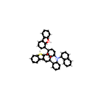 c1ccc(N(c2ccc(-c3cccc4c3oc3ccccc34)cc2)c2cccc3ccccc23)c(-c2ccc3sc4ccccc4c3c2)c1